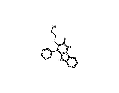 O=c1[nH]c2c([nH]c3ccccc32)c(-c2ccccc2)c1NCCO